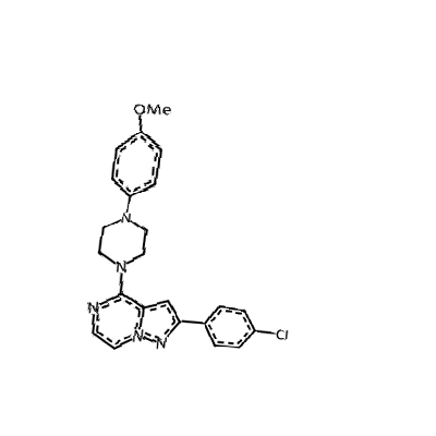 COc1ccc(N2CCN(c3nccn4nc(-c5ccc(Cl)cc5)cc34)CC2)cc1